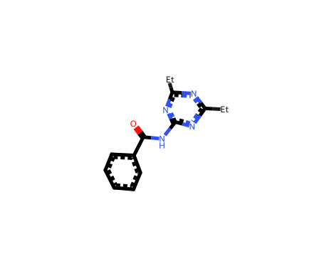 CCc1nc(CC)nc(NC(=O)c2ccccc2)n1